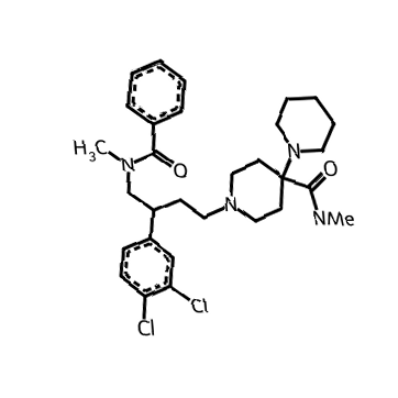 CNC(=O)C1(N2CCCCC2)CCN(CCC(CN(C)C(=O)c2ccccc2)c2ccc(Cl)c(Cl)c2)CC1